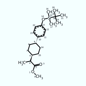 COC(=O)C(C)[C@H]1CC[C@H](c2ccc(O[Si](C)(C)C(C)(C)C)cc2)CC1